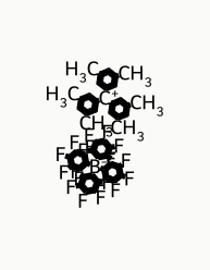 Cc1cc(C)cc([C+](c2cc(C)cc(C)c2)c2cc(C)cc(C)c2)c1.Fc1c(F)c(F)c([B-](c2c(F)c(F)c(F)c(F)c2F)(c2c(F)c(F)c(F)c(F)c2F)c2c(F)c(F)c(F)c(F)c2F)c(F)c1F